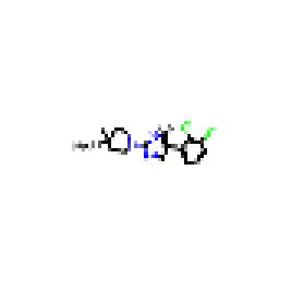 CNC1(C)CCN(c2ncc(-c3cccc(Cl)c3Cl)c(C#N)n2)CC1